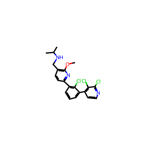 COc1nc(-c2cccc(-c3ccnc(Cl)c3Cl)c2Cl)ccc1CNC(C)C